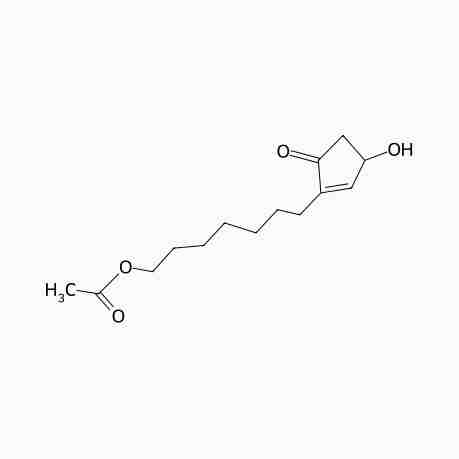 CC(=O)OCCCCCCCC1=CC(O)CC1=O